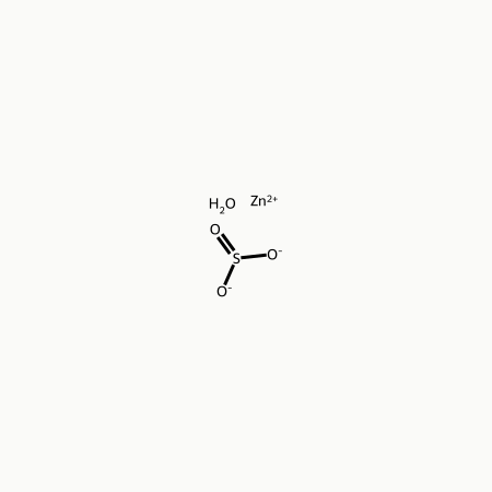 O.O=S([O-])[O-].[Zn+2]